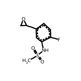 CS(=O)(=O)Nc1cc(C2CO2)ccc1F